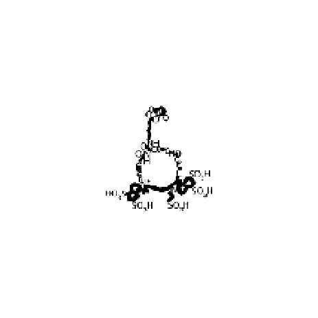 CC1(C)C2=[N+](CCCCCC(=O)NC(C(=O)NCCCCCC(=O)ON3C(=O)CCC3=O)CCCCNC(=O)CCCCCC3(C)/C(=C/C=C/C=C/2)N(CCCS(=O)(=O)O)c2ccc4c(S(=O)(=O)O)cc(S(=O)(=O)O)cc4c23)c2ccc3c(S(=O)(=O)O)cc(S(=O)(=O)O)cc3c21